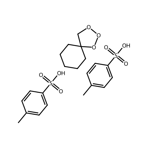 C1CCC2(CC1)COOO2.Cc1ccc(S(=O)(=O)O)cc1.Cc1ccc(S(=O)(=O)O)cc1